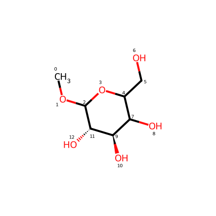 COC1OC(CO)C(O)[C@@H](O)[C@@H]1O